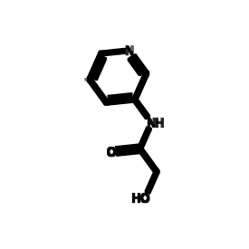 O=C(CO)Nc1c[c]cnc1